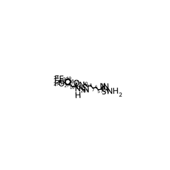 Nc1nnc(CCCCc2cnc(NC(=O)Cc3cccc(OC(F)(F)F)c3)cn2)s1